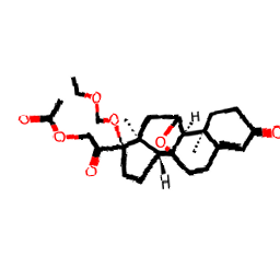 CCOCO[C@]1(C(=O)COC(C)=O)CC[C@H]2C34CCC5=CC(=O)CC[C@]5(C)[C@@H]3C(C[C@@]21C)O4